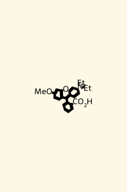 CC[N+](CC)=c1ccc2c(-c3ccccc3C(=O)O)c3ccc(OC)cc3oc-2c1